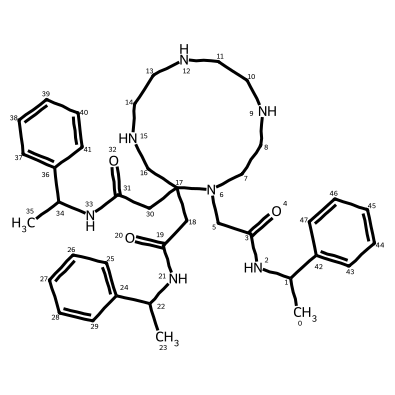 CC(NC(=O)CN1CCNCCNCCNCC1(CC(=O)NC(C)c1ccccc1)CC(=O)NC(C)c1ccccc1)c1ccccc1